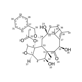 CC(=O)O[C@@]12CO[C@@H]1C[C@H](O)[C@@]1(C)C(=O)[C@H](O)C3=C(C)CC[C@@](O)([C@@H](OCc4ccccc4)C12)C3(C)C